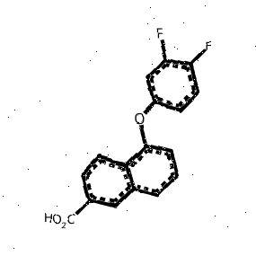 O=C(O)c1ccc2c(Oc3ccc(F)c(F)c3)cccc2c1